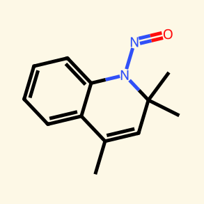 CC1=CC(C)(C)N(N=O)c2ccccc21